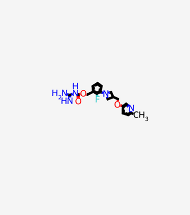 Cc1ccc(OCC2CN(c3cccc(COC(=O)NC(=N)N)c3F)C2)cn1